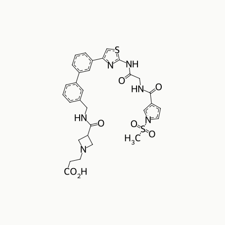 CS(=O)(=O)n1ccc(C(=O)NCC(=O)Nc2nc(-c3cccc(-c4cccc(CNC(=O)C5CN(CCC(=O)O)C5)c4)c3)cs2)c1